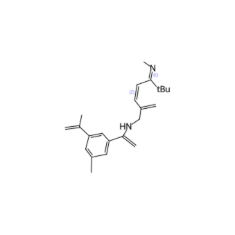 C=C(/C=C\C(=N/C)C(C)(C)C)CNC(=C)c1cc(C)cc(C(=C)C)c1